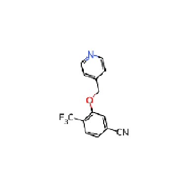 N#Cc1ccc(C(F)(F)F)c(OCc2ccncc2)c1